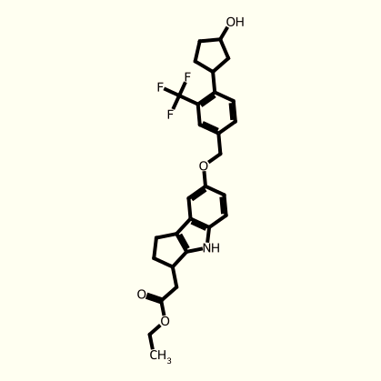 CCOC(=O)CC1CCc2c1[nH]c1ccc(OCc3ccc(C4CCC(O)C4)c(C(F)(F)F)c3)cc21